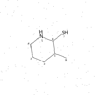 CC1CCCNC1S